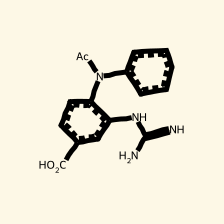 CC(=O)N(c1ccccc1)c1ccc(C(=O)O)cc1NC(=N)N